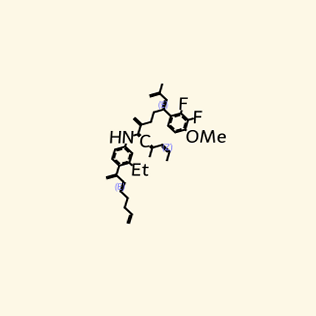 C=CCC/C=C/C(=C)c1ccc(NC(=C=C(C)/C=C\C)C(=C)CC/C(=C\C(=C)C)c2ccc(OC)c(F)c2F)cc1CC